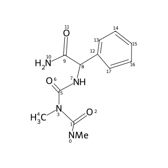 CNC(=O)N(C)C(=O)NC(C(N)=O)c1ccccc1